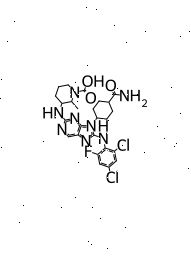 CC1C(Nc2ncc3nc(Nc4c(F)cc(Cl)cc4Cl)n(C4CCC(C(N)=O)CC4)c3n2)CCCN1C(=O)O